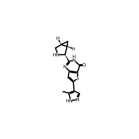 Cc1[nH]ncc1-c1cc2nc([C@H]3NC[C@@H]4C[C@@H]43)[nH]c(=O)c2s1